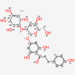 C[C@@H]1C[C@@H](O[C@@H]2[C@@H](Oc3cc(O)c(C(=O)CCc4ccc(O)cc4)c(O)c3)O[C@@H](CO)[C@H](O)[C@H]2O)[C@H](O)[C@H](O)[C@H]1O